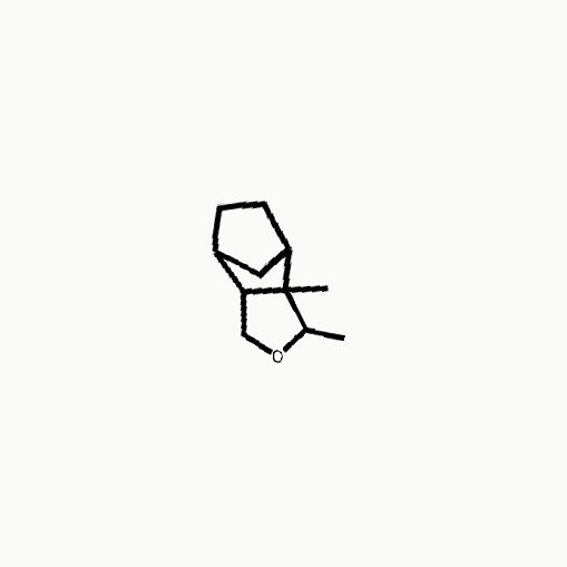 CC1OCC2C3CCC(C3)C12C